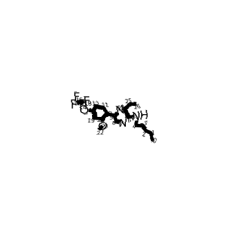 CCCCCNc1ncc(-c2ccc(OC(F)(F)F)cc2OC)nc1CC